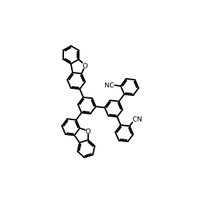 N#Cc1ccccc1-c1cc(-c2cc(-c3ccc4c(c3)oc3ccccc34)cc(-c3cccc4c3oc3ccccc34)c2)cc(-c2ccccc2C#N)c1